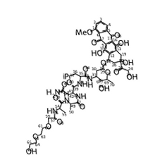 COc1cccc2c1C(=O)c1c(O)c3c(c(O)c1C2=O)C[C@@](O)(C(=O)CO)C[C@@H]3O[C@@H]1CC(NC(=O)C(CC(C)C)NC(=O)C(CC(N)=O)NC(=O)C(C)NC(=O)C(C)NC(=O)COCCOCCO)[C@@H](O)C(C)O1